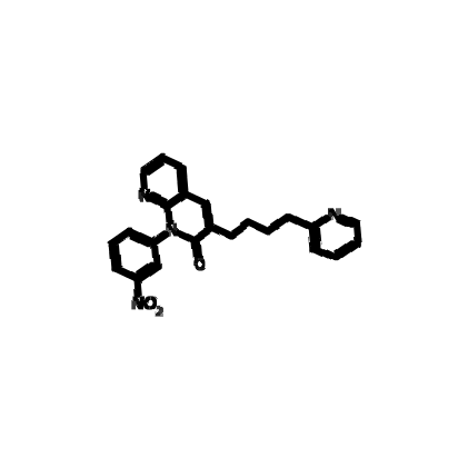 O=c1c(CCCCc2ccccn2)cc2cccnc2n1-c1cccc([N+](=O)[O-])c1